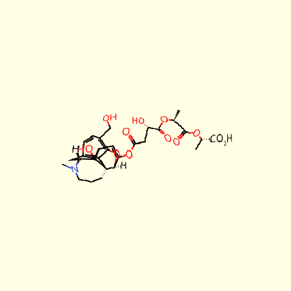 C[C@H](OC(=O)[C@H](C)OC(=O)[C@@H](O)CC(=O)OC1=CC[C@@]2(O)[C@H]3Cc4ccc(CO)c5c4[C@@]2(CCCN3C)[C@H]1O5)C(=O)O